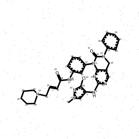 Cn1cc(Nc2ncc3c(n2)N(c2cccc(NC(=O)/C=C/CN4CCCCC4)c2)C(=O)N(c2ccccc2)C3)c(Cl)n1